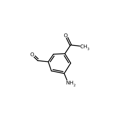 CC(=O)c1cc(N)cc(C=O)c1